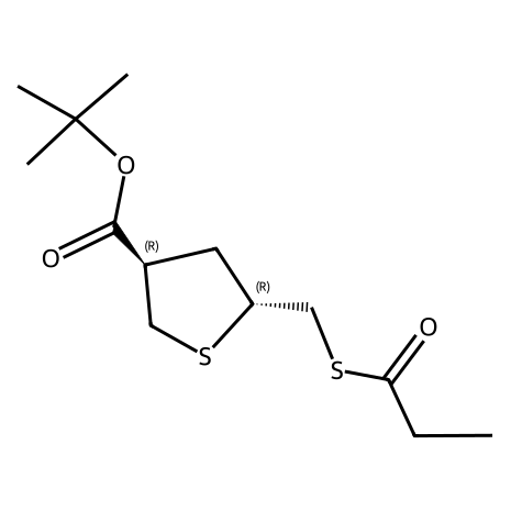 CCC(=O)SC[C@H]1C[C@H](C(=O)OC(C)(C)C)CS1